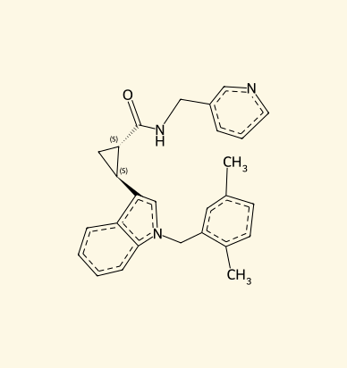 Cc1ccc(C)c(Cn2cc([C@H]3C[C@@H]3C(=O)NCc3cccnc3)c3ccccc32)c1